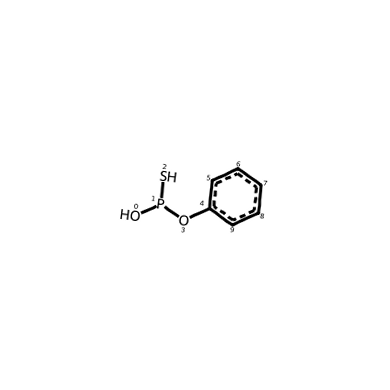 OP(S)Oc1ccccc1